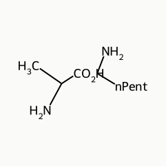 CC(N)C(=O)O.CCCCCCN